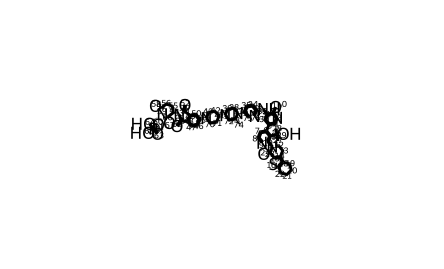 COc1ncc(-c2ccnc(N3CCc4c(sc5c4CCCC5)C3=O)c2C(C)(C)O)cc1Nc1ccc(N2CCN(C3CCN(c4ccc5c(c4)C(=O)N([C@H]4CCC(=O)N(COP(=O)(O)O)C4=O)C5=O)CC3)C[C@@H]2C)cn1